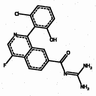 NC(N)=NC(=O)c1ccc2c(F)cnc(-c3c(O)cccc3Cl)c2c1